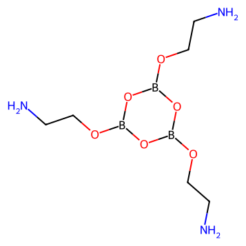 NCCOB1OB(OCCN)OB(OCCN)O1